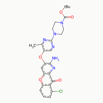 Cc1nc(N2CCN(C(=O)OC(C)(C)C)CC2)ncc1Oc1cc2oc3cccc(Cl)c3c(=O)c2nc1N